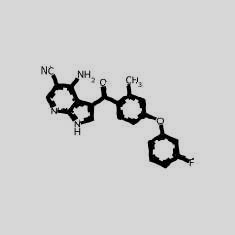 Cc1cc(Oc2cccc(F)c2)ccc1C(=O)c1c[nH]c2ncc(C#N)c(N)c12